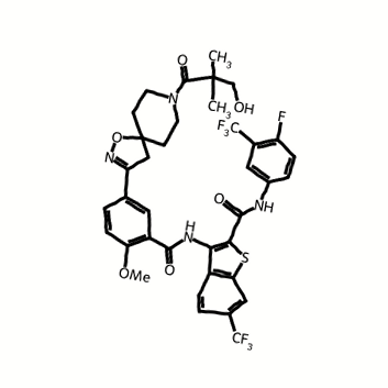 COc1ccc(C2=NOC3(CCN(C(=O)C(C)(C)CO)CC3)C2)cc1C(=O)Nc1c(C(=O)Nc2ccc(F)c(C(F)(F)F)c2)sc2cc(C(F)(F)F)ccc12